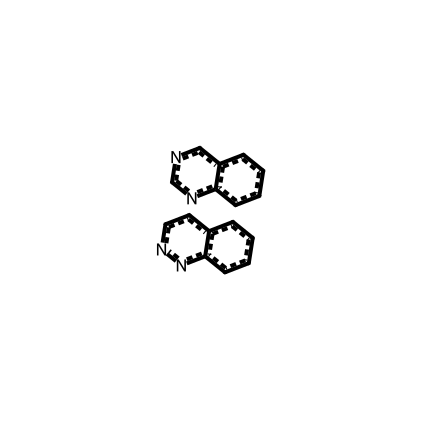 c1ccc2ncncc2c1.c1ccc2nnccc2c1